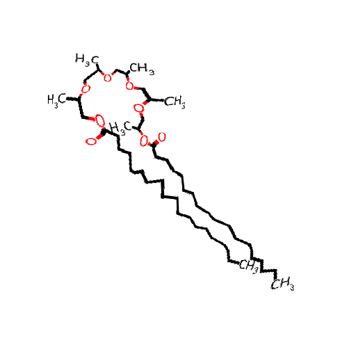 CCCCCCCCCCCCCCCCCC(=O)OCC(C)OCC(C)OCC(C)OCC(C)OCC(C)OC(=O)CCCCCCCCCCCCCCCCC